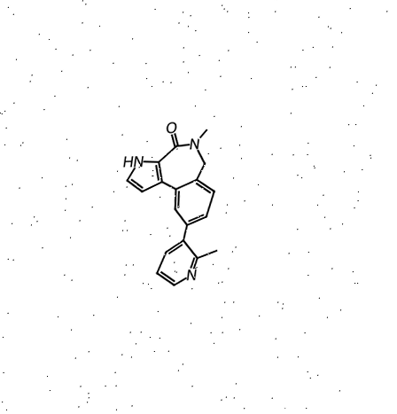 Cc1ncccc1-c1ccc2c(c1)-c1cc[nH]c1C(=O)N(C)C2